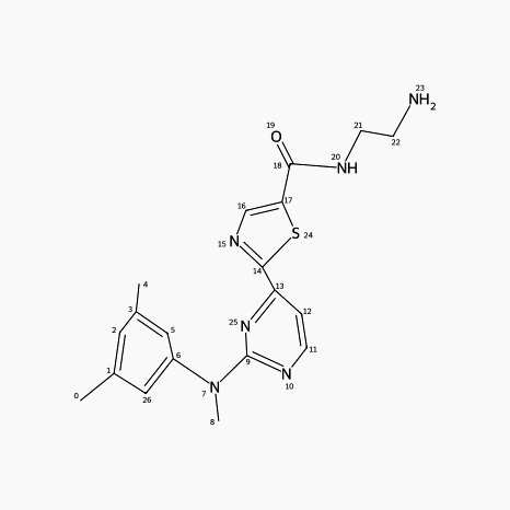 Cc1cc(C)cc(N(C)c2nccc(-c3ncc(C(=O)NCCN)s3)n2)c1